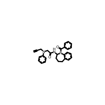 C#CCN(CC(=O)NC1CCCc2ccccc2N1C(=O)c1ccccc1)c1ccccc1